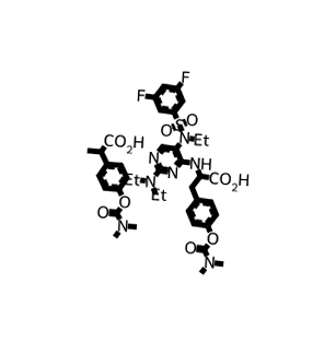 CC(C(=O)O)c1ccc(OC(=O)N(C)C)cc1.CCN(CC)c1ncc(N(CC)S(=O)(=O)c2cc(F)cc(F)c2)c(NC(Cc2ccc(OC(=O)N(C)C)cc2)C(=O)O)n1